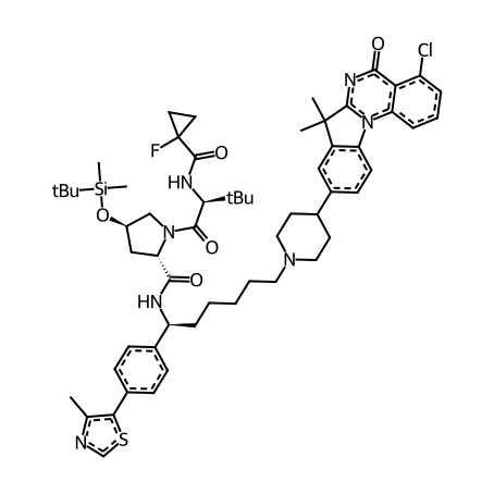 Cc1ncsc1-c1ccc([C@H](CCCCCN2CCC(c3ccc4c(c3)C(C)(C)c3nc(=O)c5c(Cl)cccc5n3-4)CC2)NC(=O)[C@@H]2C[C@@H](O[Si](C)(C)C(C)(C)C)CN2C(=O)[C@@H](NC(=O)C2(F)CC2)C(C)(C)C)cc1